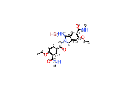 Br.CCOc1ccc(C(=O)CN2Cc3cc(OCC)c(C(=O)NC)cc3C2=N)cc1C(=O)NC